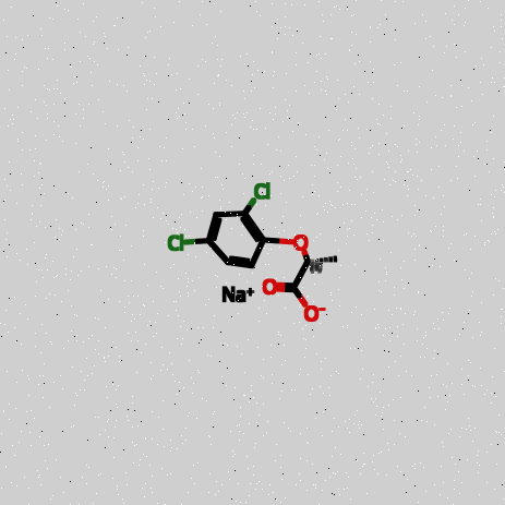 C[C@@H](Oc1ccc(Cl)cc1Cl)C(=O)[O-].[Na+]